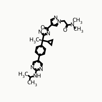 CC(C)Nc1ncc(-c2ccc([C@](C)(c3noc(-c4cnn(CC(=O)N(C)C)c4)n3)C3CC3)cc2)cn1